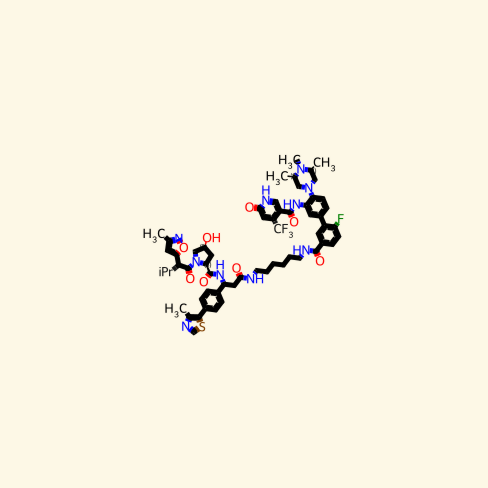 Cc1cc(C(C(=O)N2C[C@H](O)C[C@H]2C(=O)NC(CC(=O)NCCCCCCNC(=O)c2ccc(F)c(-c3ccc(N4C[C@@H](C)N(C)[C@@H](C)C4)c(NC(=O)c4c[nH]c(=O)cc4C(F)(F)F)c3)c2)c2ccc(-c3scnc3C)cc2)C(C)C)on1